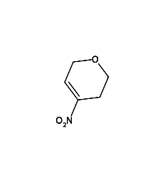 O=[N+]([O-])C1=CCOCC1